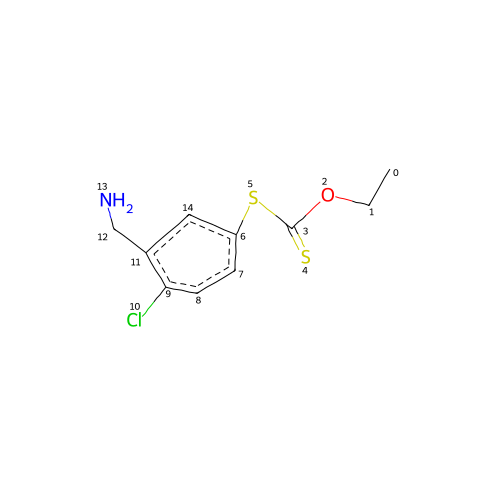 CCOC(=S)Sc1ccc(Cl)c(CN)c1